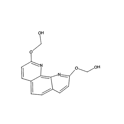 OCOc1ccc2ccc3ccc(OCO)nc3c2n1